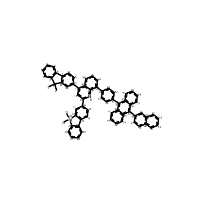 CC1(C)c2ccccc2-c2ccc(-c3cc(-c4ccc5c(c4)[Si](C)(C)c4ccccc4-5)nc4c(-c5ccc(-c6c7ccccc7c(-c7ccc8ccccc8c7)c7ccccc67)cc5)cccc34)cc21